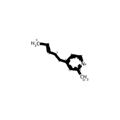 CC=CCCc1ccnc(C)c1